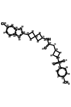 Cc1ccc(S(=O)(=O)N2CC(CC(=O)NC3CC4(C3)CC(c3nc5cc(Cl)ccc5o3)C4)C2)cc1